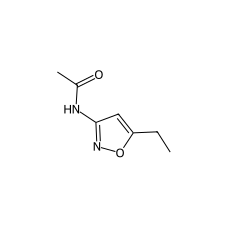 CCc1cc(NC(C)=O)no1